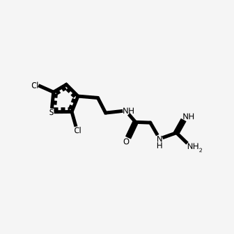 N=C(N)NCC(=O)NCCc1cc(Cl)sc1Cl